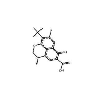 C[C@H]1COc2c(C(C)(C)C)c(F)cc3c(=O)c(C(=O)O)cn1c23